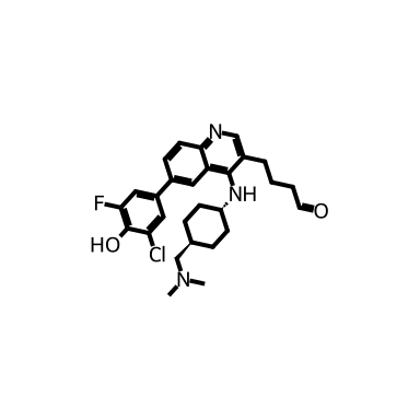 CN(C)C[C@H]1CC[C@H](Nc2c(CCCC=O)cnc3ccc(-c4cc(F)c(O)c(Cl)c4)cc23)CC1